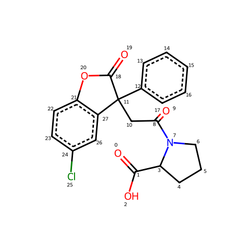 O=C(O)C1CCCN1C(=O)CC1(c2ccccc2)C(=O)Oc2ccc(Cl)cc21